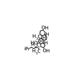 CC(C)CCCC(C)[C@H]1[C@H](O)C[C@H]2[C@@H]3CC[C@H]4C[C@H](O)CC[C@]4(C)[C@H]3C[C@H](O)[C@@]21C